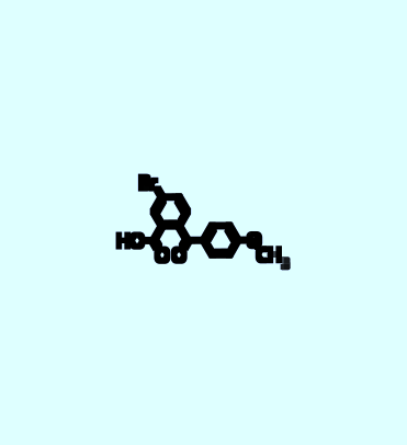 COc1ccc(C(=O)c2ccc(Br)cc2C(=O)O)cc1